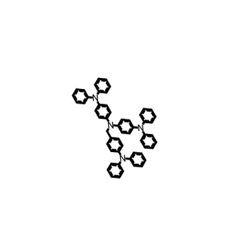 c1ccc(N(c2ccccc2)c2ccc(CN(c3ccc(N(c4ccccc4)c4ccccc4)cc3)c3ccc(N(c4ccccc4)c4ccccc4)cc3)cc2)cc1